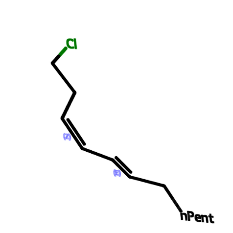 CCCCCC/C=C/C=C\CCCl